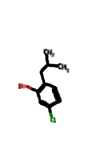 CC(C)Cc1ccc(Cl)cc1Br